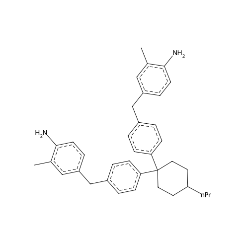 CCCC1CCC(c2ccc(Cc3ccc(N)c(C)c3)cc2)(c2ccc(Cc3ccc(N)c(C)c3)cc2)CC1